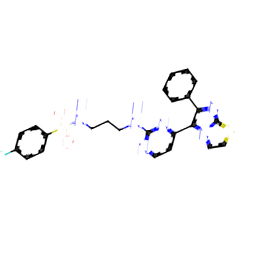 O=S(=O)(NCCCNc1nccc(-c2c(-c3ccccc3)nc3sccn23)n1)c1ccc(F)cc1